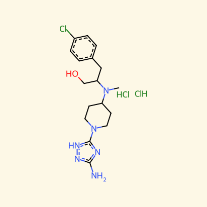 CN(C1CCN(c2nc(N)n[nH]2)CC1)C(CO)Cc1ccc(Cl)cc1.Cl.Cl